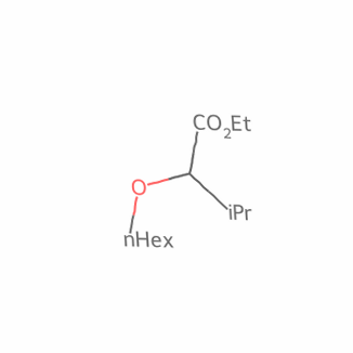 CCCCCCOC(C(=O)OCC)C(C)C